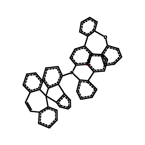 C1=Cc2ccccc2C2(c3ccccc31)c1ccccc1-c1c(N(c3ccc4c(c3)-c3ccccc3Oc3ccccc3-4)c3ccccc3-c3ccccc3)cccc12